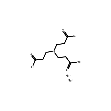 O=C([O-])CCN(CCC(=O)[O-])CCC(=O)O.[Na+].[Na+]